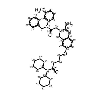 Cc1cccc(N(Cc2ccccc2)C(=O)CN2Cc3cc(OCCCC(=O)N(C4CCCCC4)C4CCCCC4)ccc3N=C2N)c1